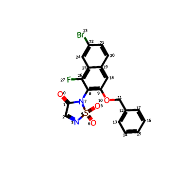 O=C1C=NS(=O)(=O)N1c1c(OCc2ccccc2)cc2ccc(Br)cc2c1F